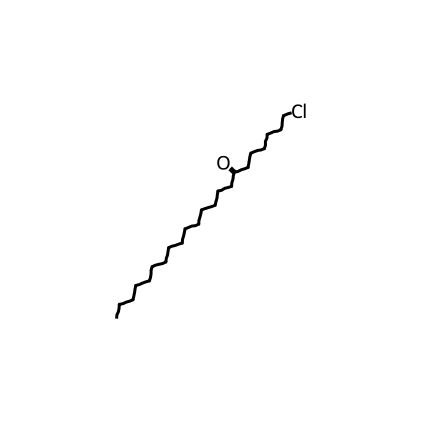 CCCCCCCCCCCCCCCC(=O)CCCCCCCl